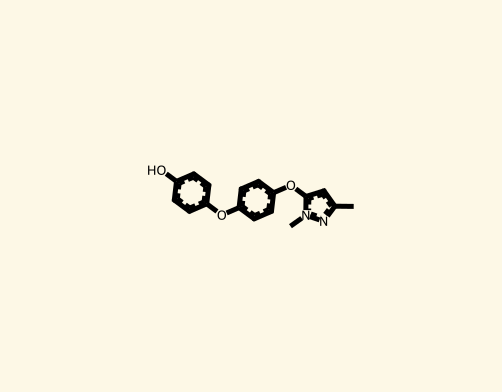 Cc1cc(Oc2ccc(Oc3ccc(O)cc3)cc2)n(C)n1